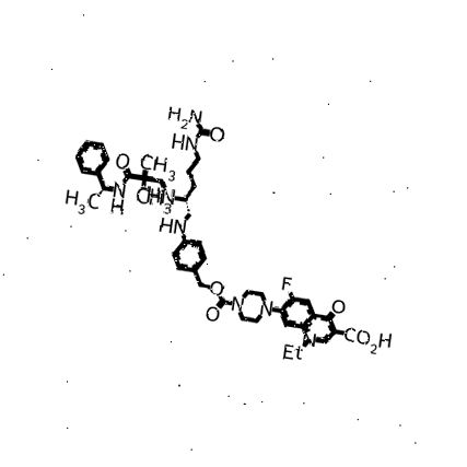 CCn1cc(C(=O)O)c(=O)c2cc(F)c(N3CCN(C(=O)OCc4ccc(NC[C@@H](CCCNC(N)=O)NCC(C)(C)C(=O)N[C@H](C)c5ccccc5)cc4)CC3)cc21